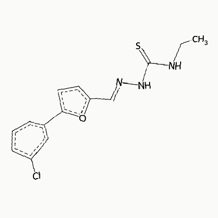 CCNC(=S)N/N=C/c1ccc(-c2cccc(Cl)c2)o1